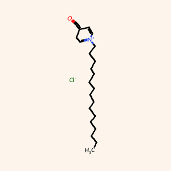 CCCCCCCCCCCCCCCC[N+]1=CCC(=C=O)C=C1.[Cl-]